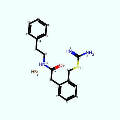 Br.N=C(N)SCc1ccccc1CC(=O)NCCc1ccccc1